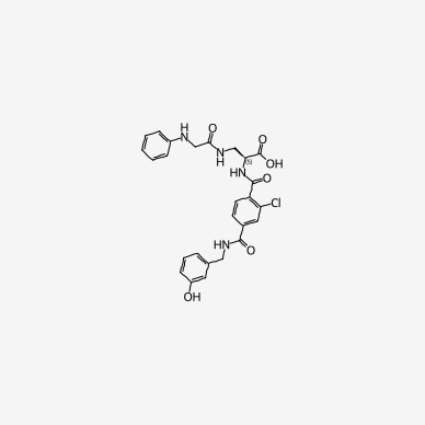 O=C(CNc1ccccc1)NC[C@H](NC(=O)c1ccc(C(=O)NCc2cccc(O)c2)cc1Cl)C(=O)O